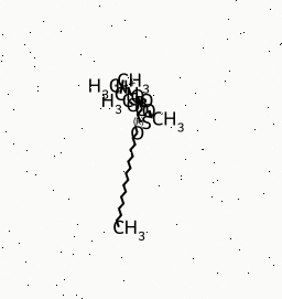 CCCCCCCCCCCCCCCCOC[C@H](COP(=O)(OC)OCC[N+](C)(C)C)SC(C)=O